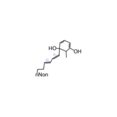 CCCCCCCCCCC/C=C/C=C/C1(O)C=CC=C(O)C1C